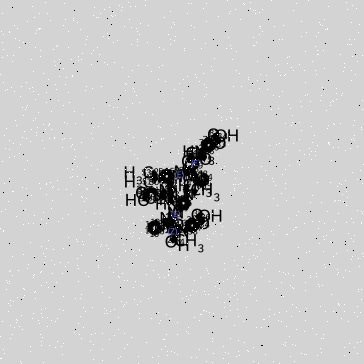 CCN(CC)c1ccc(/N=N/c2nc(N3CCCCC3)c(/C=C(/C(C)=O)C(=O)Nc3ccc(S(=O)(=O)O)cc3)s2)c(Nc2nc(Nc3cc(N(CC)CC)ccc3/N=N/c3nc(N4CCCCC4)c(/C=C(\C(C)=O)C(=O)Nc4ccc(S(=O)(=O)O)cc4)s3)nc(SCCS(=O)(=O)O)n2)c1